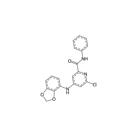 O=C(Nc1ccccc1)c1cc(Nc2cccc3c2OCO3)cc(Cl)n1